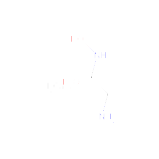 NCCNO.O.[CaH2]